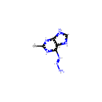 NN=Nc1nc(N=O)nc2[nH]cnc12